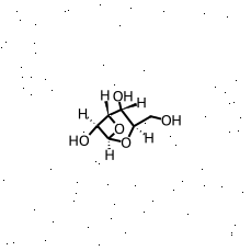 OC[C@H]1O[C@@H]2O[C@H]([C@@H]2O)[C@@H]1O